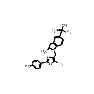 Cc1ccc(-c2nc(CN3c4ccc(C(O)(C(F)(F)F)C(F)(F)F)cc4CC3C)c(C)o2)cc1